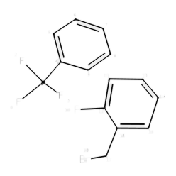 FC(F)(F)c1ccccc1.Fc1ccccc1CBr